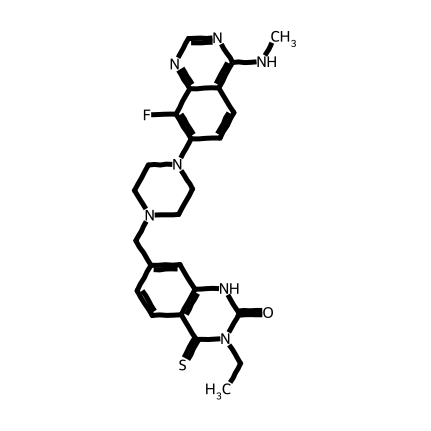 CCn1c(=O)[nH]c2cc(CN3CCN(c4ccc5c(NC)ncnc5c4F)CC3)ccc2c1=S